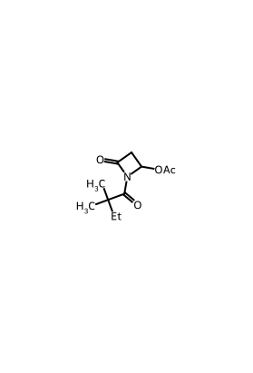 CCC(C)(C)C(=O)N1C(=O)CC1OC(C)=O